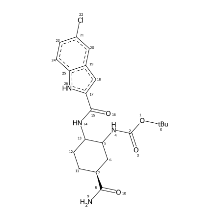 CC(C)(C)OC(=O)NC1C[C@@H](C(N)=O)CCC1NC(=O)c1cc2cc(Cl)ccc2[nH]1